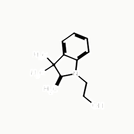 C=C1N(CCO)c2ccccc2C1(C)C